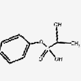 CC(O)P(=O)(O)Oc1ccccc1